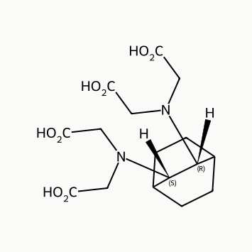 O=C(O)CN(CC(=O)O)[C@@H]1C2CCC(CC2)[C@@H]1N(CC(=O)O)CC(=O)O